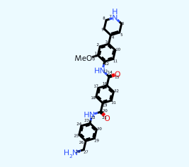 COc1cc(C2=CCNCC2)ccc1NC(=O)c1ccc(C(=O)Nc2ccc(CN)cc2)cc1